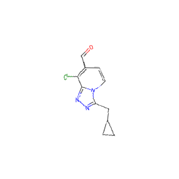 O=Cc1ccn2c(CC3CC3)nnc2c1Cl